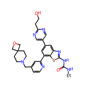 CCNC(=O)Nc1nc2cc(-c3cnc(CCO)nc3)cc(-c3cc(CN4CCC5(CC4)COC5)ccn3)c2s1